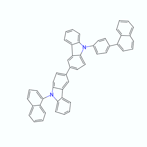 c1ccc2c(-c3ccc(-n4c5ccccc5c5cc(-c6ccc7c(c6)c6ccccc6n7-c6cccc7ccccc67)ccc54)cc3)cccc2c1